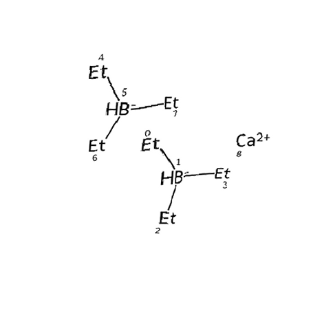 CC[BH-](CC)CC.CC[BH-](CC)CC.[Ca+2]